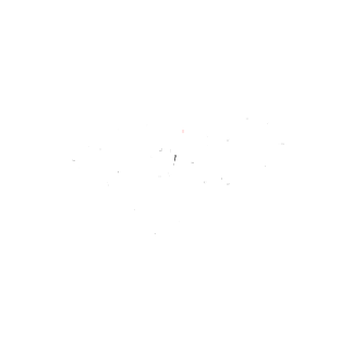 CC1(C)OC[C@H](C(O)(c2ccc3ccccc3c2)c2ccc3ccccc3c2)O1